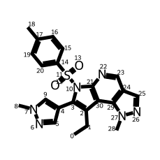 CCc1c(-c2cnn(C)c2)n(S(=O)(=O)c2ccc(C)cc2)c2ncc3cnn(C)c3c12